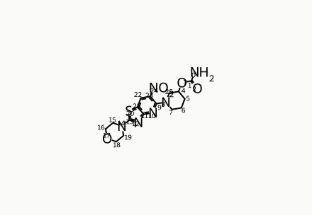 NC(=O)OC1CCCN(c2nc3nc(N4CCOCC4)sc3cc2[N+](=O)[O-])C1